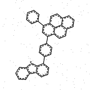 c1ccc(-c2cc(-c3ccc(-c4cccc5c4sc4ccccc45)cc3)c3ccc4cccc5ccc2c3c54)cc1